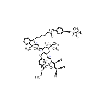 CC1(C)OC(=C(C#N)C#N)C(C#N)=C1/C=C/C1=C(Oc2ccc(CCCO)cc2)C(=C/C=C2/N(CCCCCC(=O)Nc3ccc(C#C[Si](C)(C)C)cc3)c3ccccc3C2(C)C)/CC(C(C)(C)C)C1